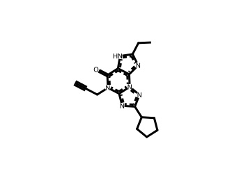 C#CCn1c(=O)c2[nH]c(CC)nc2n2nc(C3CCCC3)nc12